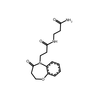 NC(=O)CCNC(=O)CCN1C(=O)CCOc2ccccc21